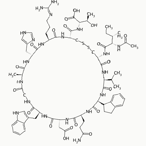 CC[C@H](C)[C@H](NC(C)=O)C(=O)N[C@H]1CSSC[C@@H](C(=O)N[C@H](C(=O)O)[C@@H](C)O)NC(=O)[C@H](CCCN=C(N)N)NC(=O)[C@@H](Cc2c[nH]cn2)NC(=O)[C@H](C)NC(=O)CNC(=O)[C@H](Cc2c[nH]c3ccccc23)NC(=O)[C@@H](CC(=O)O)NC(=O)[C@H](CCC(N)=O)NC(=O)[C@H](C2CCc3ccccc32)NC(=O)[C@H](C(C)C)NC1=O